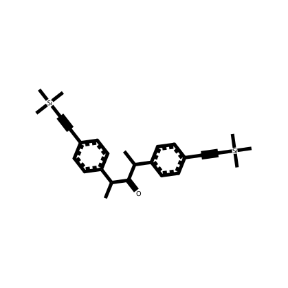 CC(C(=O)C(C)c1ccc(C#C[Si](C)(C)C)cc1)c1ccc(C#C[Si](C)(C)C)cc1